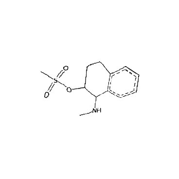 CNC1c2ccccc2CCC1OS(C)(=O)=O